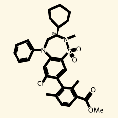 COC(=O)c1ccc(C)c(-c2cc3c(cc2Cl)N(c2ccccc2)C[C@@H](C2CCCCC2)N(C)S3(=O)=O)c1C